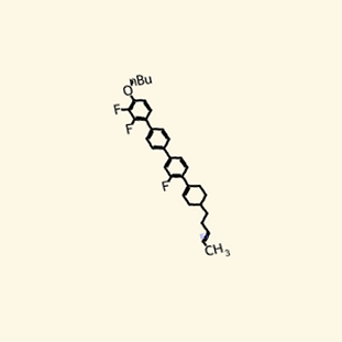 C/C=C/CCC1CC=C(c2ccc(-c3ccc(-c4ccc(OCCCC)c(F)c4F)cc3)cc2F)CC1